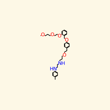 COCCCOCCOc1ccccc1COc1ccc(CCOCCCNCCNc2ccc(C)cc2)cc1